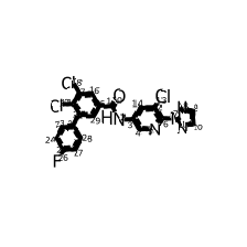 O=C(Nc1cnc(-n2nccn2)c(Cl)c1)c1cc(Cl)c(Cl)c(-c2ccc(F)cc2)c1